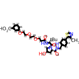 Cc1ncsc1-c1ccc(CNC(=O)[C@@H]2C[C@@H](O)CN2C(=O)[C@@H](NC(=O)CCOCCOCCOc2cccc(C(=O)O)c2)C(C)(C)C)cc1